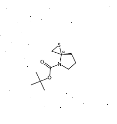 CC(C)(C)OC(=O)N1CCC[C@]12CS2